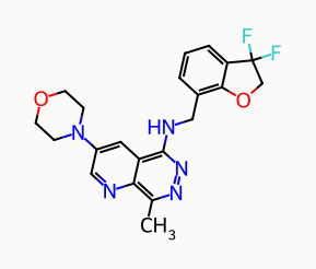 Cc1nnc(NCc2cccc3c2OCC3(F)F)c2cc(N3CCOCC3)cnc12